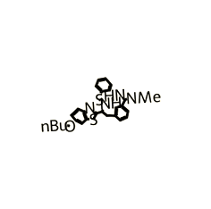 CCCCOc1ccc2nc(C(Cc3cccc(C(=N)NC)c3)NSc3ccccc3)sc2c1